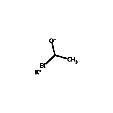 CCC(C)[O-].[K+]